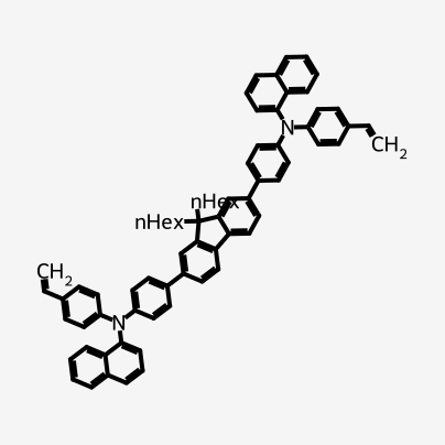 C=Cc1ccc(N(c2ccc(-c3ccc4c(c3)C(CCCCCC)(CCCCCC)c3cc(-c5ccc(N(c6ccc(C=C)cc6)c6cccc7ccccc67)cc5)ccc3-4)cc2)c2cccc3ccccc23)cc1